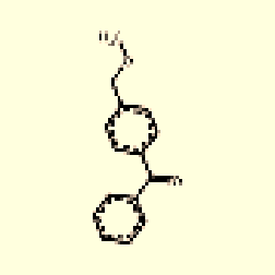 CO[CH]c1ccc(C(=O)c2ccccc2)cc1